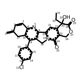 C=C1C=Cc2nc3c(c(-c4ccc(Cl)cc4)c2C1)Cn1c-3cc2c(c1=O)COC(=O)C2(O)CC